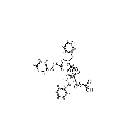 O=C(N[C@@H](Cc1ccccc1)C(=O)N[C@@H](CCc1ccccc1)C(=O)C1OC1C(=O)O)OCc1ccccc1